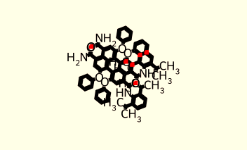 CC(C)c1cccc(C(C)C)c1NC(=O)c1cc(Oc2ccccc2)c2c3c(Oc4ccccc4)cc(C(N)=O)c4c(C(N)=O)cc(Oc5ccccc5)c(c5c(Oc6ccccc6)cc(C(=O)Nc6c(C(C)C)cccc6C(C)C)c1c25)c43